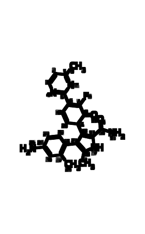 Cc1ccnc(C2=C(F)C(=O)C(c3c(C(N)=O)[nH]c(C)c3-c3ccc(N)cc3C)C=C2)n1